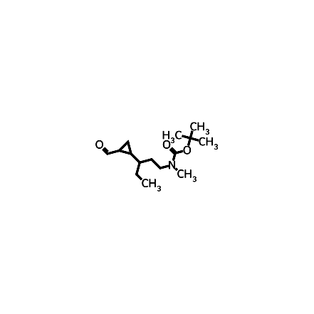 CCC(CCN(C)C(=O)OC(C)(C)C)C1CC1C=O